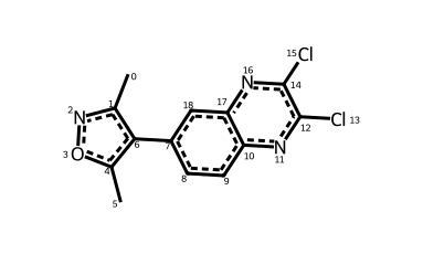 Cc1noc(C)c1-c1ccc2nc(Cl)c(Cl)nc2c1